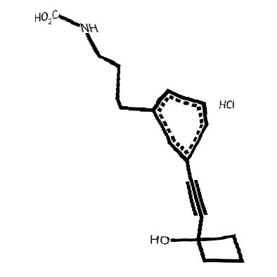 Cl.O=C(O)NCCCc1cccc(C#CC2(O)CCC2)c1